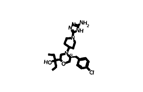 CCC(O)(CC)C1CN(C2CCN(c3nnc(N)[nH]3)CC2)[C@@H](Cc2ccc(Cl)cc2)CO1